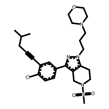 CC(C)CC#Cc1cc(-c2nn(CCCN3CCOCC3)c3c2CN(S(C)(=O)=O)CC3)ccc1Cl